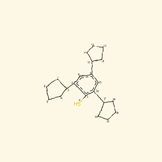 Sc1c(C2CCCC2)cc(C2CCCC2)cc1C1CCCC1